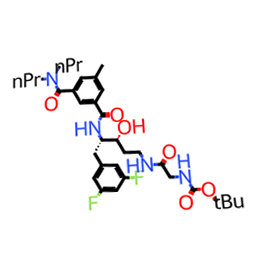 CCCN(CCC)C(=O)c1cc(C)cc(C(=O)N[C@@H](Cc2cc(F)cc(F)c2)[C@H](O)CCNC(=O)CNC(=O)OC(C)(C)C)c1